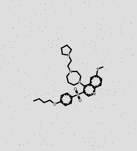 CCCCOc1ccc(S(=O)(=O)c2cnc3ccc(SC)cc3c2N2CCCN(CCN3CCCC3)CC2)cc1